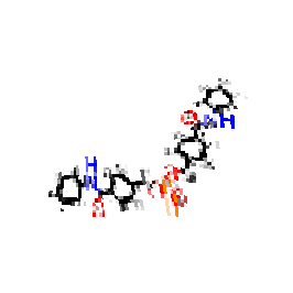 O=C(Nc1ccccc1)c1ccc(CO[PH](=O)OCc2ccc(C(=O)Nc3ccccc3)cc2)cc1